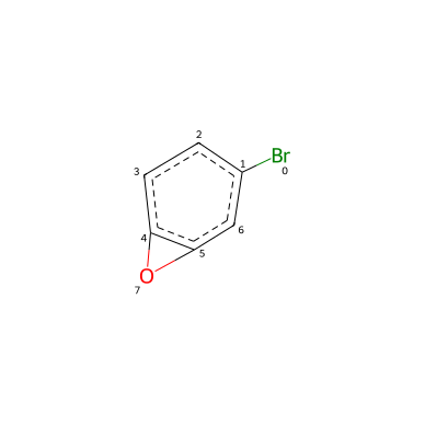 Brc1ccc2c(c1)O2